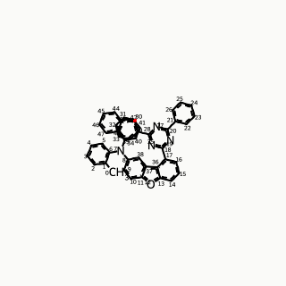 Cc1ccccc1N(c1ccc2oc3cccc(-c4nc(-c5ccccc5)nc(-c5ccccc5)n4)c3c2c1)c1cccc2ccccc12